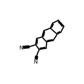 N#Cc1cc2cc3ccccc3cc2cc1C#N